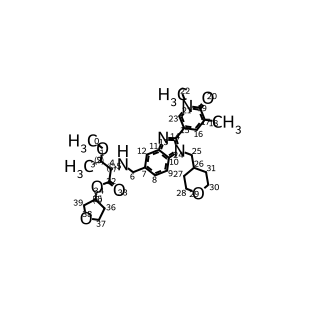 CO[C@@H](C)[C@H](NCc1ccc2c(c1)nc(-c1cc(C)c(=O)n(C)c1)n2CC1CCOCC1)C(=O)O[C@H]1CCOC1